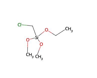 CCO[Si](CCl)(OC)OC